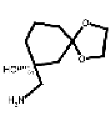 NC[C@@]1(O)CCCC2(C1)OCCO2